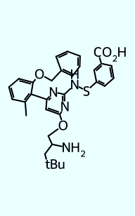 Cc1cccc(OCc2ccccc2)c1-c1cc(OCC(N)CC(C)(C)C)nc(NSc2cccc(C(=O)O)c2)n1